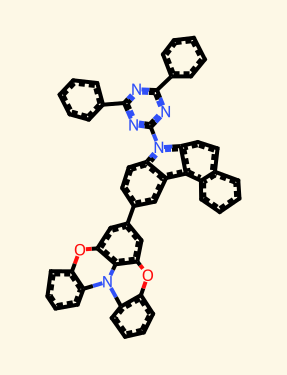 c1ccc(-c2nc(-c3ccccc3)nc(-n3c4ccc(-c5cc6c7c(c5)Oc5ccccc5N7c5ccccc5O6)cc4c4c5ccccc5ccc43)n2)cc1